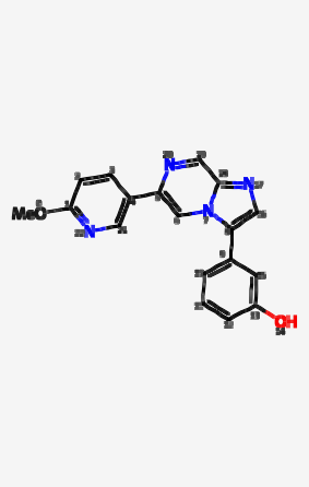 COc1ccc(-c2cn3c(-c4cccc(O)c4)cnc3cn2)cn1